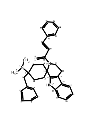 CN(C)C1(Cc2ccccc2)CCC2(CC1)c1[nH]c3ccccc3c1CCN2C(=O)C=Cc1ccccc1